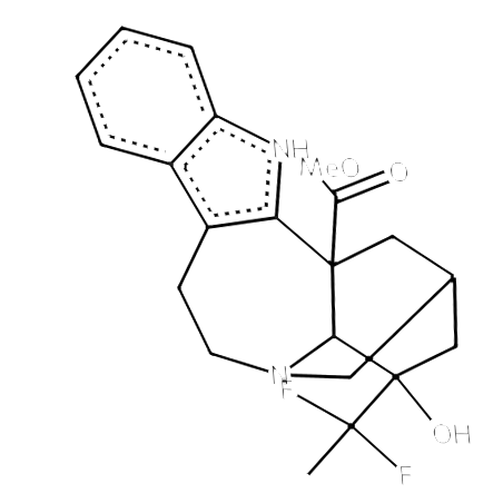 COC(=O)C12CC3CN(CCc4c1[nH]c1ccccc41)C2C(O)(C(C)(F)F)C3